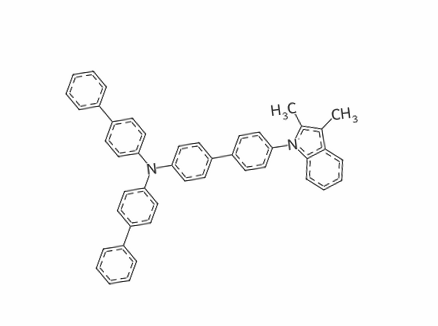 Cc1c(C)n(-c2ccc(-c3ccc(N(c4ccc(-c5ccccc5)cc4)c4ccc(-c5ccccc5)cc4)cc3)cc2)c2ccccc12